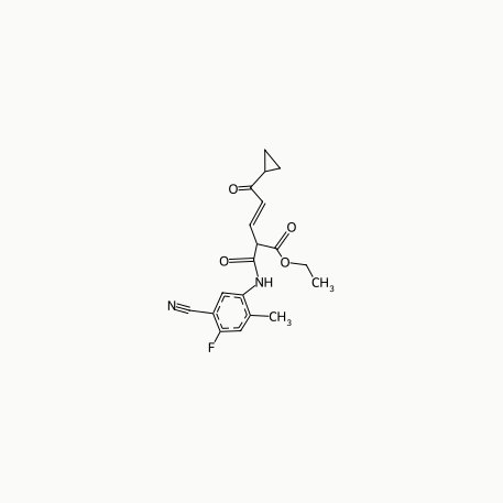 CCOC(=O)C(/C=C/C(=O)C1CC1)C(=O)Nc1cc(C#N)c(F)cc1C